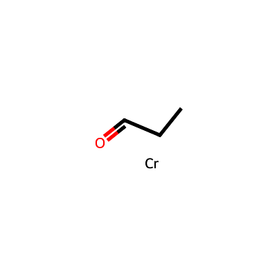 CCC=O.[Cr]